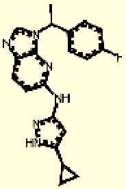 C[C@@H](c1ccc(F)cc1)n1cnc2ccc(Nc3cc(C4CC4)[nH]n3)nc21